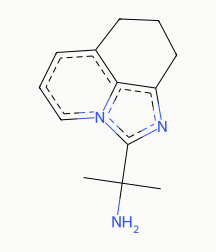 CC(C)(N)c1nc2c3c(cccn13)CCC2